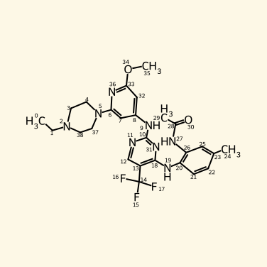 CCN1CCN(c2cc(Nc3ncc(C(F)(F)F)c(Nc4ccc(C)cc4NC(C)=O)n3)cc(OC)n2)CC1